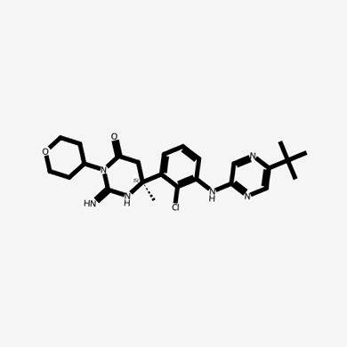 CC(C)(C)c1cnc(Nc2cccc([C@]3(C)CC(=O)N(C4CCOCC4)C(=N)N3)c2Cl)cn1